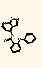 O=C(Oc1cc[nH]c2nncc1-2)c1ccccc1Oc1ccccc1